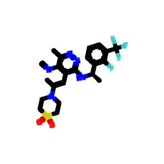 C=Nc1c(C)nnc(N[C@H](C)c2cccc(C(F)(F)F)c2F)c1/C=C(\C)N1CCS(=O)(=O)CC1